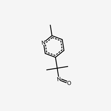 Cc1ccc(C(C)(C)N=O)cn1